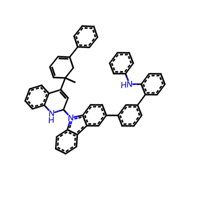 CC1(C2=CC(n3c4ccccc4c4cc(-c5cccc(-c6ccccc6Nc6ccccc6)c5)ccc43)Nc3ccccc32)C=CC=C(c2ccccc2)C1